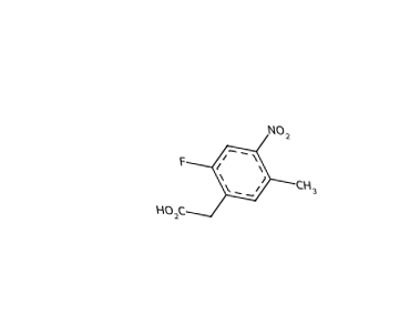 Cc1cc(CC(=O)O)c(F)cc1[N+](=O)[O-]